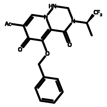 CC(=O)c1cn2c(c(OCc3ccccc3)c1=O)C(=O)N([C@H](C)C(F)(F)F)CN2